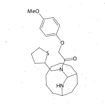 COc1ccc(OCC(=O)N(CC2CCCS2)C2NC3CCCCCCC2CC3)cc1